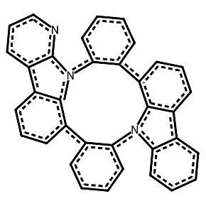 c1ccc2c(c1)c1cccc3c4ccccc4n4c5ncccc5c5cccc(c6ccccc6n2c13)c54